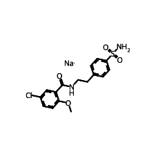 COc1ccc(Cl)cc1C(=O)NCCc1ccc(S(N)(=O)=O)cc1.[Na]